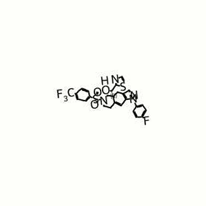 O=S(=O)(c1ccc(C(F)(F)F)cc1)N1CCC2=Cc3c(cnn3-c3ccc(F)cc3)C[C@]2(C(O)c2nccs2)C1